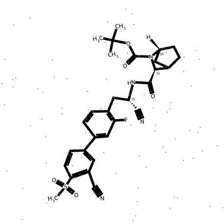 CC(C)(C)OC(=O)N1[C@@H]2CCC(C2)[C@H]1C(=O)N[C@H](C#N)Cc1ccc(-c2ccc(S(C)(=O)=O)c(C#N)c2)cc1F